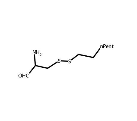 CCCCCCCSSCC(N)C=O